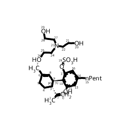 C=C(C)[C@@H]1CCC(C)=C[C@H]1c1c(O)cc(CCCCC)cc1OS(=O)(=O)O.OCCN(CCO)CCO